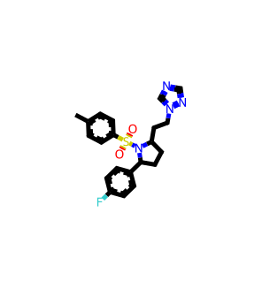 Cc1ccc(S(=O)(=O)N2C(CCn3cncn3)CCC2c2ccc(F)cc2)cc1